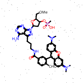 COCC1OC(n2nc(CCCNC(=O)c3ccc(C=O)c(-c4c5ccc(=[N+](C)C)cc-5oc5cc(N(C)C)ccc45)c3)c3c(N)ncnc32)CC1OP(C)(=O)O